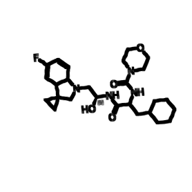 O=C(N[C@@H](O)CN1CC2(CC2)C2C=C(F)C=CC21)C(CC1CCCCC1)NC(=O)N1CCOCC1